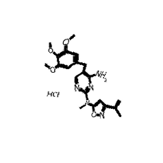 COc1cc(Cc2cnc(N(C)c3cc(C(C)C)no3)nc2N)cc(OC)c1OC.Cl